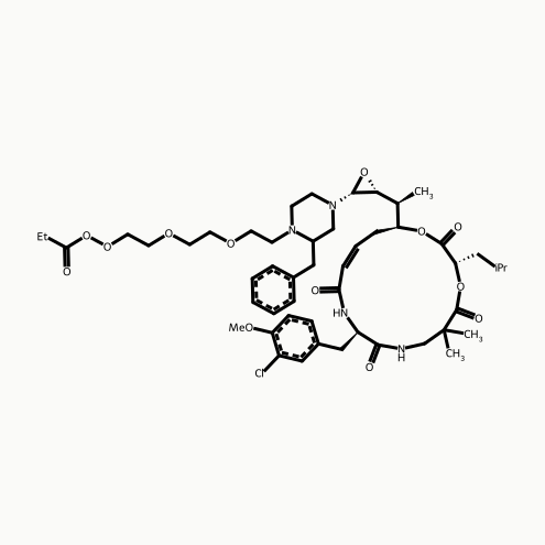 CCC(=O)OOCCOCCOCCN1CCN([C@@H]2O[C@@H]2[C@@H](C)[C@@H]2CC=CC(=O)N[C@H](Cc3ccc(OC)c(Cl)c3)C(=O)NCC(C)(C)C(=O)O[C@@H](CC(C)C)C(=O)O2)CC1Cc1ccccc1